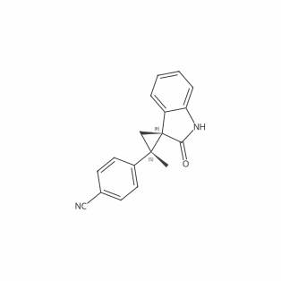 C[C@@]1(c2ccc(C#N)cc2)C[C@@]12C(=O)Nc1ccccc12